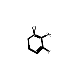 FC1=CCCC(Cl)=C1Br